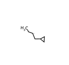 CC[CH]CC1CC1